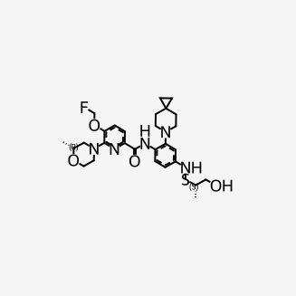 C[C@@H]1CN(c2nc(C(=O)Nc3ccc(NS[C@@H](C)CO)cc3N3CCC4(CC3)CC4)ccc2OCF)CCO1